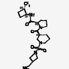 N#CC1CN(S(=O)(=O)N2CCC[C@H](C(=O)N3CCC[C@@H]3C(=O)N[C@H]3CC[C@@H]3C(F)(F)F)C2)C1